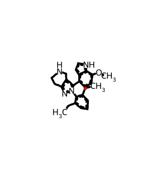 CCc1cccc(CC)c1-n1nc2c(c1-c1ccc(OC)c3[nH]ccc13)CNCC2